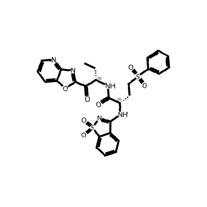 CC[C@H](NC(=O)[C@H](CCS(=O)(=O)c1ccccc1)NC1=NS(=O)(=O)c2ccccc21)C(=O)c1nc2ncccc2o1